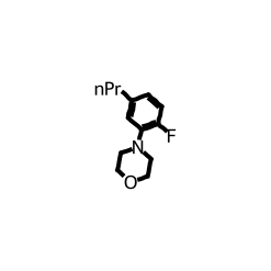 CCCc1ccc(F)c(N2CCOCC2)c1